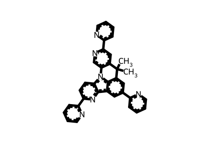 CC1(C)c2cc(-c3ccccn3)ncc2-n2c3ccc(-c4ccccn4)nc3c3cc(-c4ccccn4)cc1c32